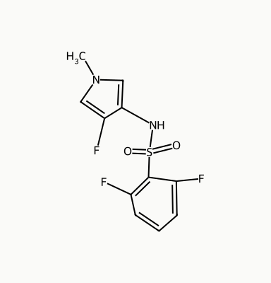 Cn1cc(F)c(NS(=O)(=O)c2c(F)cccc2F)c1